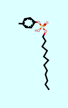 CCCCCCCCCCCCOP(=O)(O)Oc1ccc(C)cc1